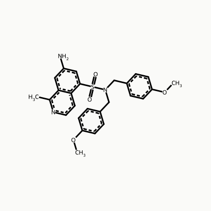 COc1ccc(CN(Cc2ccc(OC)cc2)S(=O)(=O)c2cc(N)cc3c(C)nccc23)cc1